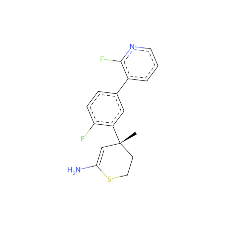 C[C@]1(c2cc(-c3cccnc3F)ccc2F)C=C(N)SCC1